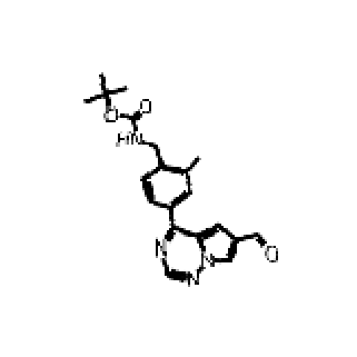 Cc1cc(-c2ncnn3cc(C=O)cc23)ccc1CNC(=O)OC(C)(C)C